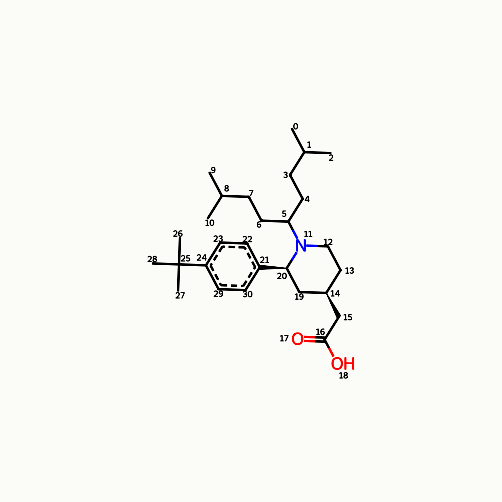 CC(C)CCC(CCC(C)C)N1CC[C@@H](CC(=O)O)C[C@H]1c1ccc(C(C)(C)C)cc1